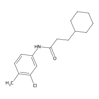 Cc1ccc(NC(=O)CCC2CCCCC2)cc1Cl